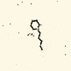 C.CCCCCN1CCCCC1